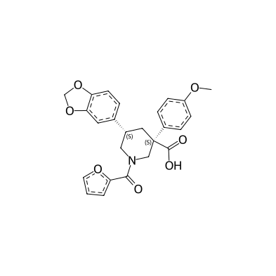 COc1ccc([C@@]2(C(=O)O)C[C@@H](c3ccc4c(c3)OCO4)CN(C(=O)c3ccco3)C2)cc1